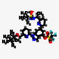 C[C@H](N[S+]([O-])C(C)(C)C)c1cccc(-c2cc(OS(=O)(=O)C(F)(F)F)c3cnn(-c4cccc(CO[Si](C)(C)C(C)(C)C)n4)c3c2)n1